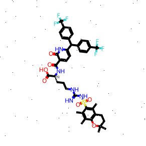 Cc1c(C)c(S(=O)(=O)NC(=N)NCCC[C@H](NC(=O)c2ccc(C(c3ccc(C(F)(F)F)cc3)c3ccc(C(F)(F)F)cc3)[nH]c2=O)C(=O)O)c(C)c2c1OC(C)(C)CC2